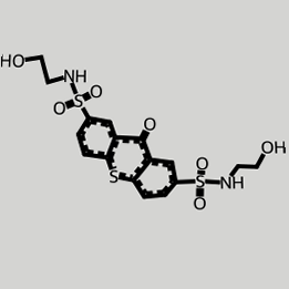 O=c1c2cc(S(=O)(=O)NCCO)ccc2sc2ccc(S(=O)(=O)NCCO)cc12